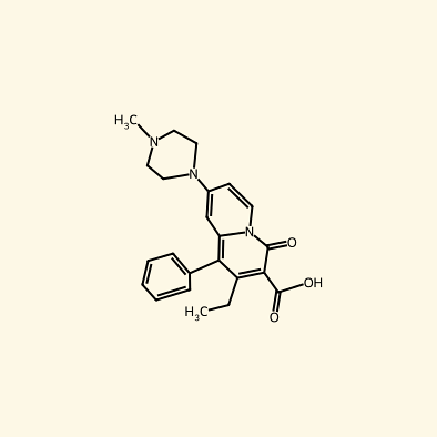 CCc1c(C(=O)O)c(=O)n2ccc(N3CCN(C)CC3)cc2c1-c1ccccc1